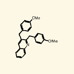 COc1ccc(Cc2cc3ccccc3nc2Cc2ccc(OC)cc2)cc1